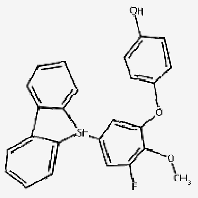 COc1c(F)cc([SH]2c3ccccc3-c3ccccc32)cc1Oc1ccc(O)cc1